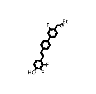 CCOCc1ccc(-c2ccc(/C=C/c3ccc(O)c(F)c3F)cc2)cc1F